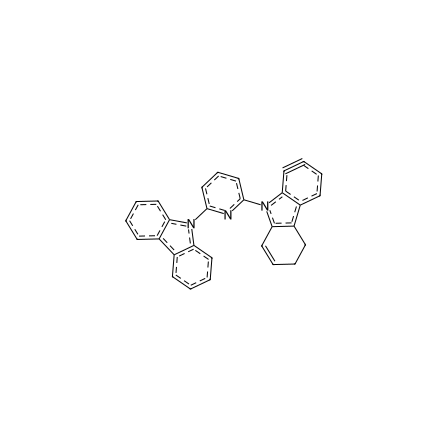 c1ccc2c3c(n(-c4cccc(-n5c6ccccc6c6ccccc65)n4)c2c#1)C=CCC3